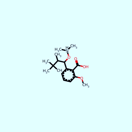 COc1cccc(C(O[SiH](C)C)C(C)C(C)(C)C)c1C(=O)O